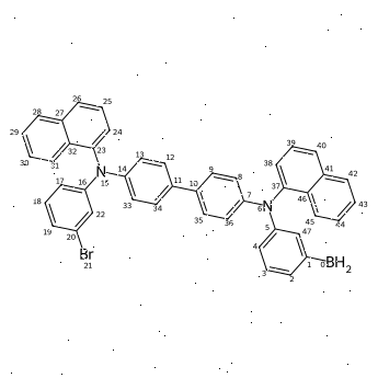 Bc1cccc(N(c2ccc(-c3ccc(N(c4cccc(Br)c4)c4cccc5ccccc45)cc3)cc2)c2cccc3ccccc23)c1